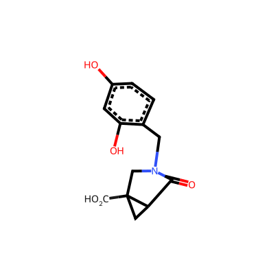 O=C1C2CC2(C(=O)O)CN1Cc1ccc(O)cc1O